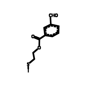 O=Cc1cccc(C(=O)OCCSI)c1